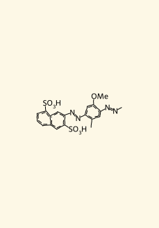 CN=Nc1cc(C)c(N=Nc2cc3c(S(=O)(=O)O)cccc3cc2S(=O)(=O)O)cc1OC